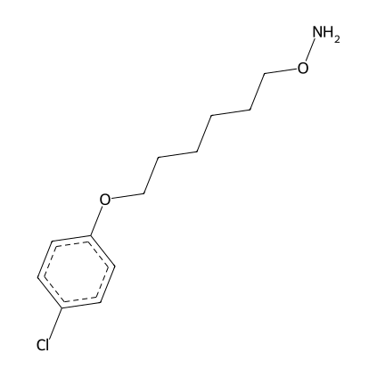 NOCCCCCCOc1ccc(Cl)cc1